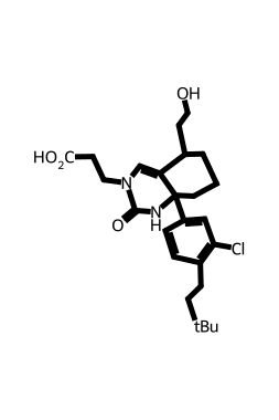 CC(C)(C)CCc1ccc(C23CCCC(CCO)C2=CN(CCC(=O)O)C(=O)N3)cc1Cl